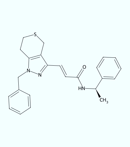 C[C@@H](NC(=O)/C=C/c1nn(Cc2ccccc2)c2c1CSCC2)c1ccccc1